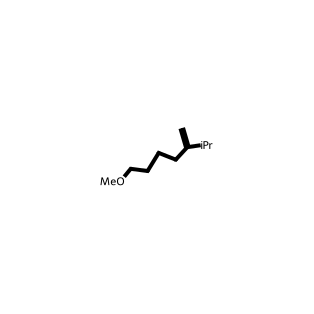 C=C(CCCCOC)C(C)C